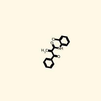 C=C(C(=O)Nc1ccccc1Cl)C(=O)c1ccccc1